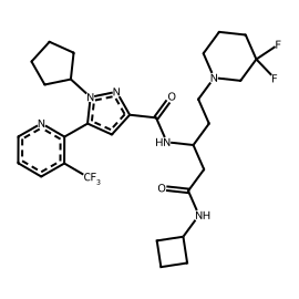 O=C(CC(CCN1CCCC(F)(F)C1)NC(=O)c1cc(-c2ncccc2C(F)(F)F)n(C2CCCC2)n1)NC1CCC1